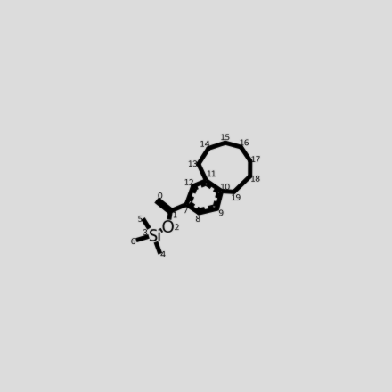 C=C(O[Si](C)(C)C)c1ccc2c(c1)CCCCCCC2